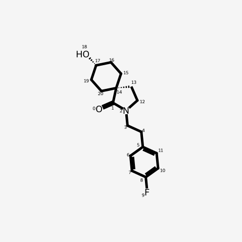 O=C1N(CCc2ccc(F)cc2)CC[C@]12CC[C@@H](O)CC2